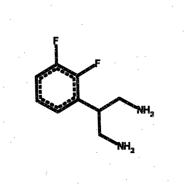 NCC(CN)c1cccc(F)c1F